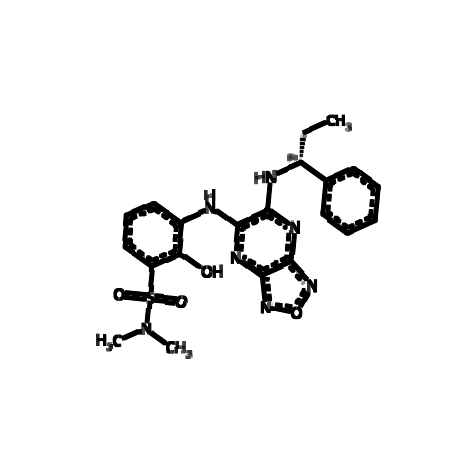 CC[C@@H](Nc1nc2nonc2nc1Nc1cccc(S(=O)(=O)N(C)C)c1O)c1ccccc1